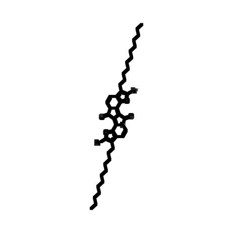 CCCCCCCCCCCCc1c(Br)oc2c1C=CC1C(=O)C3=C4c5oc(Br)c(CCCCCCCCCCCC)c5C=CN4C(=O)C3=C21